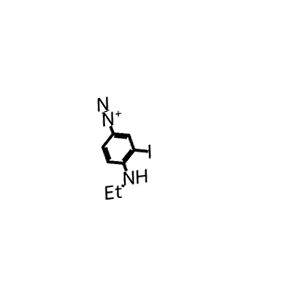 CCNc1ccc([N+]#N)cc1I